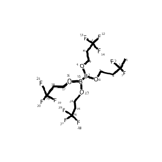 CC(F)(F)CCOB(OCCC(F)(F)F)B(OCCC(F)(F)F)OCCC(F)(F)F